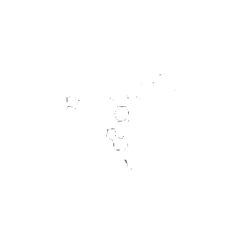 CC(C)(O)[C@H](F)CNC(=O)c1cnc(-c2ccc3cc(C#N)cnn23)cc1N[C@H]1CC[C@H](c2nnc(C(F)F)o2)OC1